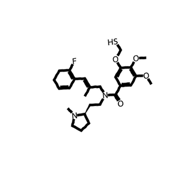 COc1cc(C(=O)N(CC[C@H]2CCCN2C)C/C(C)=C/C2=C(F)CCC=C2)cc(OCS)c1OC